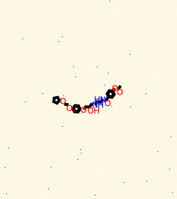 CC(=O)Oc1ccc(C(=O)NCCNCC(O)COc2ccc(OCCOC3CCCC3)cc2)cc1